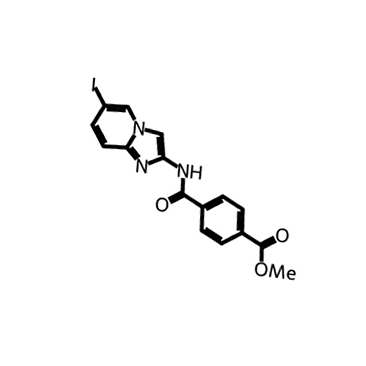 COC(=O)c1ccc(C(=O)Nc2cn3cc(I)ccc3n2)cc1